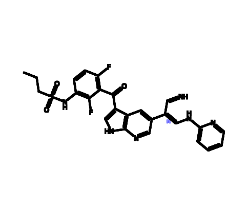 CCCS(=O)(=O)Nc1ccc(F)c(C(=O)c2c[nH]c3ncc(/C(C=N)=C/Nc4ccccn4)cc23)c1F